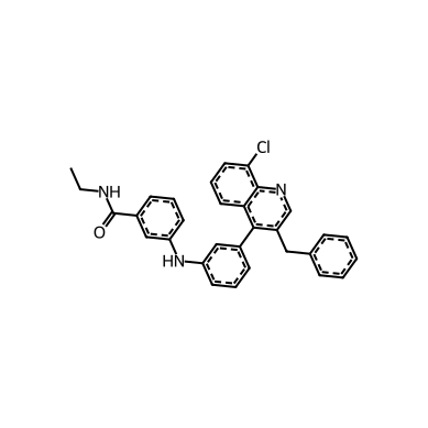 CCNC(=O)c1cccc(Nc2cccc(-c3c(Cc4ccccc4)cnc4c(Cl)cccc34)c2)c1